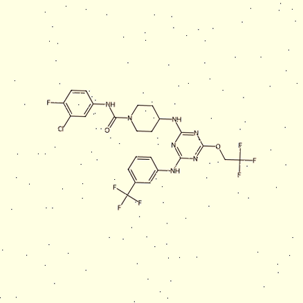 O=C(Nc1ccc(F)c(Cl)c1)N1CCC(Nc2nc(Nc3cccc(C(F)(F)F)c3)nc(OCC(F)(F)F)n2)CC1